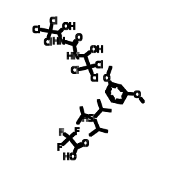 CC(C)[SiH](C(C)C)C(C)C.COc1cccc(OC)c1.O=C(NC(O)C(Cl)(Cl)Cl)NC(O)C(Cl)(Cl)Cl.O=C(O)C(F)(F)F